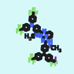 CNc1cc(C(c2ccc(C(F)(F)F)cc2)c2ccc(C(F)(F)I)cc2)ccc1C1=NC2=CC=CC3=NC(c4ccc(N(c5ccc(C(F)(F)F)cc5)c5ccc(C(F)(F)F)cc5)cc4NC)=NC(=N1)N23